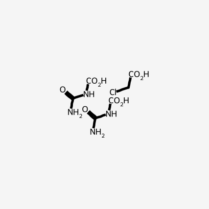 NC(=O)NC(=O)O.NC(=O)NC(=O)O.O=C(O)CCl